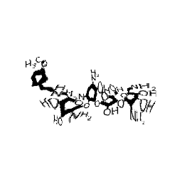 COc1cccc(CCNC[C@H]2O[C@H](O[C@H]3[C@H](O[C@@H]4O[C@H](CO)[C@@H](O[C@H]5O[C@@H](CN)[C@@H](O)[C@H](O)[C@H]5N)[C@H]4O)[C@@H](O)[C@H](N)C[C@@H]3N)[C@H](N)[C@@H](O)[C@@H]2O)c1